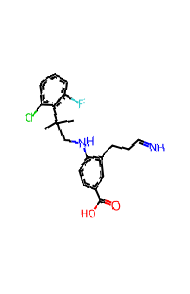 CC(C)(CNc1ccc(C(=O)O)cc1CCC=N)c1c(F)cccc1Cl